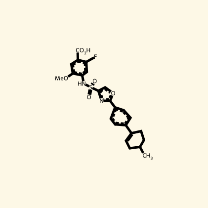 COc1cc(C(=O)O)c(F)cc1NS(=O)(=O)c1coc(-c2ccc(C3=CCC(C)CC3)cc2)n1